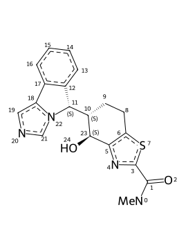 CNC(=O)c1nc2c(s1)CC[C@@H]([C@H]1c3ccccc3-c3cncn31)[C@@H]2O